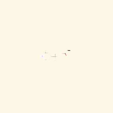 C=CC(=O)OOC(C)(C(C)C)C1CCNC(C)(C)C1